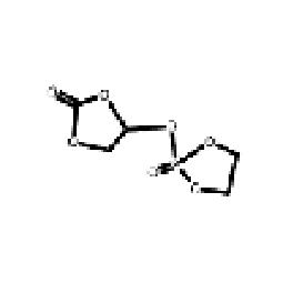 O=C1OCC(OP2(=O)OCCO2)O1